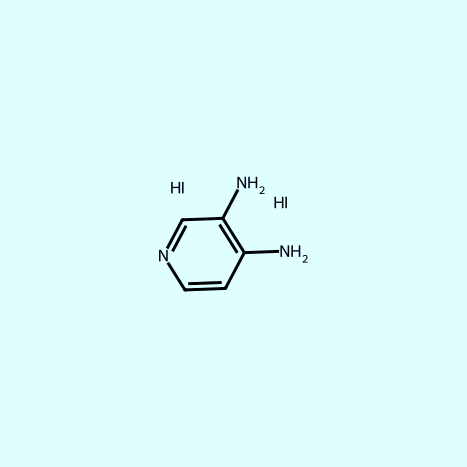 I.I.Nc1ccncc1N